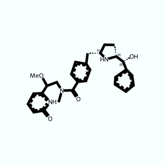 COC(CN(C)C(=O)c1ccc(C[C@@H]2CC[C@H]([C@H](O)c3ccccc3)N2)cc1)c1cccc(=O)[nH]1